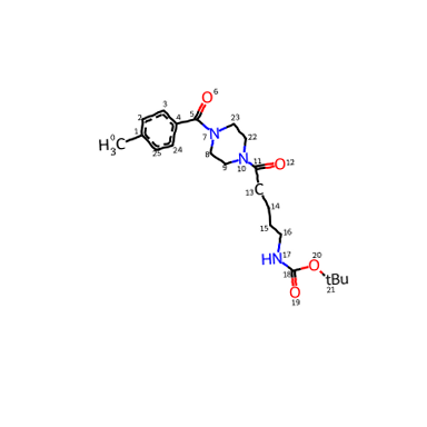 Cc1ccc(C(=O)N2CCN(C(=O)CCCCNC(=O)OC(C)(C)C)CC2)cc1